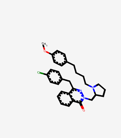 COc1ccc(CCCCN2CCCC2Cn2nc(Cc3ccc(Cl)cc3)c3ccccc3c2=O)cc1